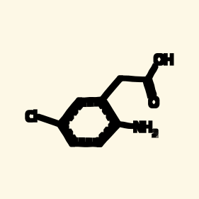 Nc1ccc(Cl)cc1CC(=O)O